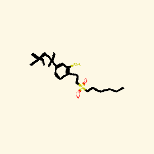 CCCCCCS(=O)(=O)CCc1ccc(C(C)(C)CC(C)(C)C)cc1S